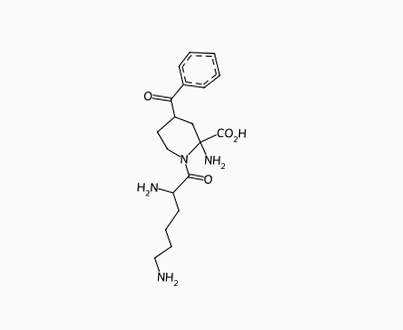 NCCCCC(N)C(=O)N1CCC(C(=O)c2ccccc2)CC1(N)C(=O)O